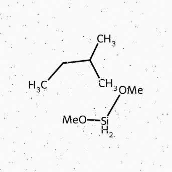 CCC(C)C.CO[SiH2]OC